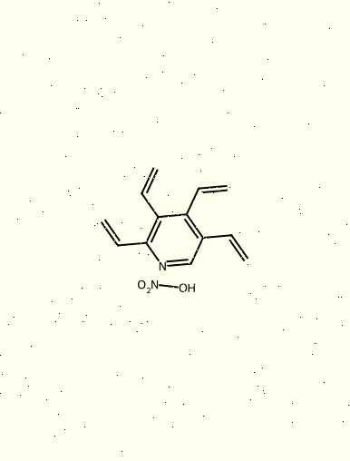 C=Cc1cnc(C=C)c(C=C)c1C=C.O=[N+]([O-])O